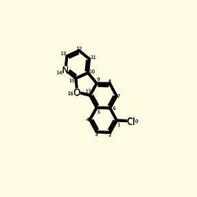 Clc1cccc2c1ccc1c3cccnc3oc21